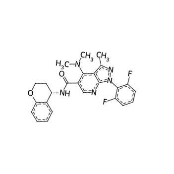 Cc1nn(-c2c(F)cccc2F)c2ncc(C(=O)N[C@H]3CCOc4ccccc43)c(N(C)C)c12